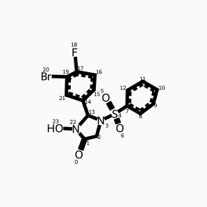 O=C1CN(S(=O)(=O)c2ccccc2)C(c2ccc(F)c(Br)c2)N1O